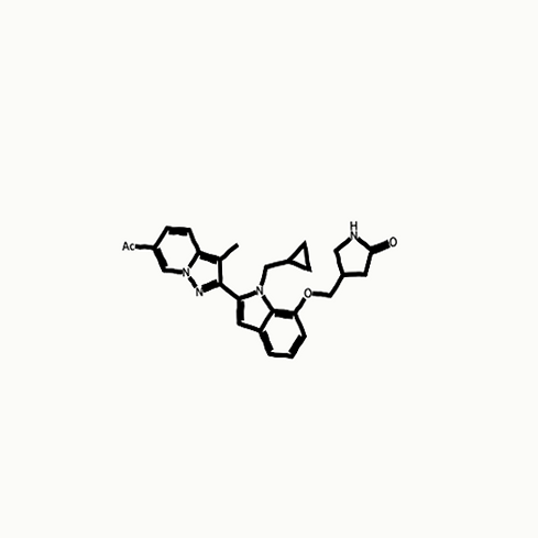 CC(=O)c1ccc2c(C)c(-c3cc4cccc(OCC5CNC(=O)C5)c4n3CC3CC3)nn2c1